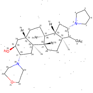 CC(=O)OC1[C@@H](N2CCCC2)C[C@H]2[C@@H]3CC[C@H]4C[C@H](O)[C@@H](N5CCOCC5)C[C@]4(C)[C@H]3CC[C@]12C